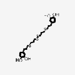 Oc1ccc(CCCSCCCSSCCCSCCCc2ccc(O)c(O)c2)cc1O